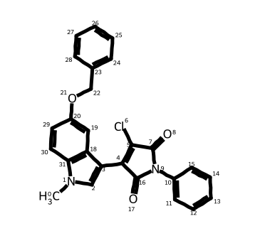 Cn1cc(C2=C(Cl)C(=O)N(c3ccccc3)C2=O)c2cc(OCc3ccccc3)ccc21